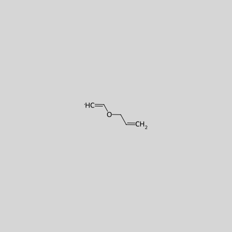 [CH]=COCC=C